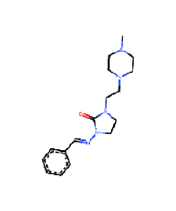 CN1CCN(CCN2CCN(N=Cc3ccccc3)C2=O)CC1